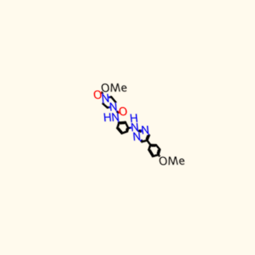 COC(=O)N1CCN(C(=O)Nc2cccc(Nc3ncc(-c4ccc(OC)cc4)cn3)c2)CC1